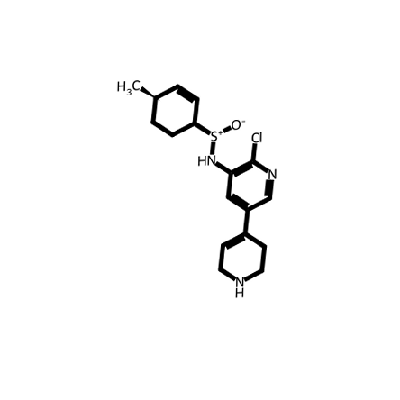 C[C@H]1C=CC([S+]([O-])Nc2cc(C3=CCNCC3)cnc2Cl)CC1